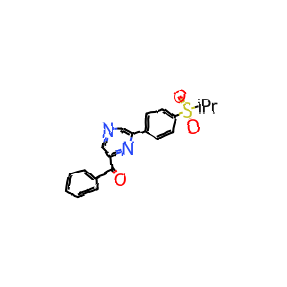 CC(C)S(=O)(=O)c1ccc(-c2cncc(C(=O)c3ccccc3)n2)cc1